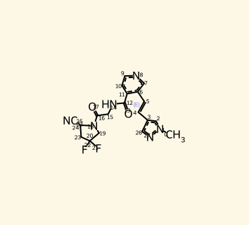 Cn1cc(/C=C/c2cnccc2C(=O)NCC(=O)N2CC(F)(F)C[C@H]2C#N)cn1